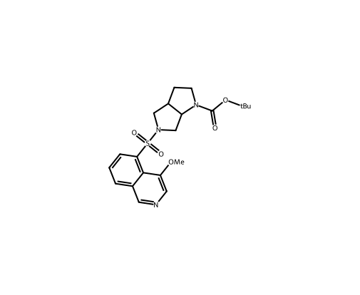 COc1cncc2cccc(S(=O)(=O)N3CC4CCN(C(=O)OC(C)(C)C)C4C3)c12